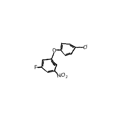 O=[N+]([O-])c1cc(F)cc(Oc2ccc(Cl)cc2)c1